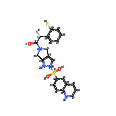 C[C@@H](C(=O)N1Cc2cn(S(=O)(=O)c3ccc4ncccc4c3)nc2C1)c1ccccc1F